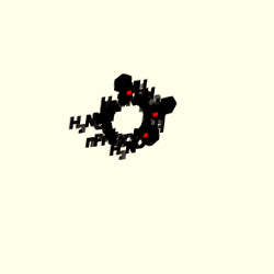 CCCN1C#CCN(NC(=O)CN)C(=O)N[C@H](Cc2c[nH]c3ccccc23)C(=O)N[C@@H](C)C(=O)N[C@@H](Cc2c[nH]c3ccccc23)C(=O)N[C@H](Cc2ccccc2)C(=O)N[C@H](C(N)=O)CCCC1